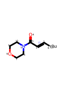 CC(C)(C)/C=C/C(=O)N1CCOCC1